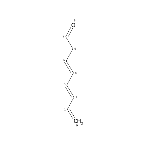 C=CC=CC=CCC=O